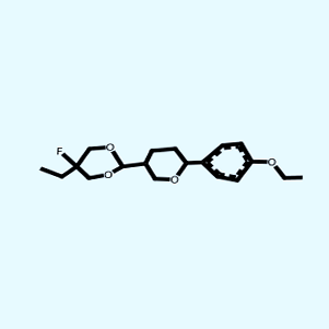 CCOc1ccc(C2CCC(C3OCC(F)(CC)CO3)CO2)cc1